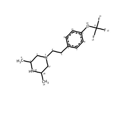 CC1CN(CCc2ccc(OC(F)(F)F)cc2)CC(C)N1